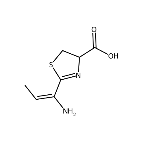 C/C=C(/N)C1=NC(C(=O)O)CS1